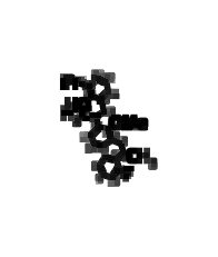 COc1c(CC(C)c2ccccc2F)cccc1C(C)Cc1cccc(C(C)C)c1O